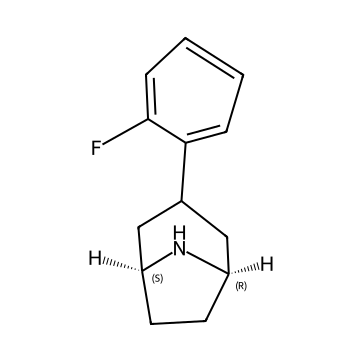 Fc1ccccc1C1C[C@H]2CC[C@@H](C1)N2